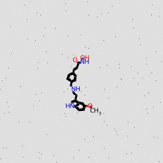 COc1ccc2[nH]cc(CCNCc3ccc(C=CC(=O)NO)cc3)c2c1